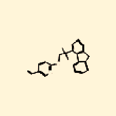 C=Cc1ccc(NCC(C)(C)c2cccc3c2-c2ccccc2C3)nc1